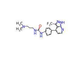 CN(C)CCCNC(=O)Nc1ccc(-c2ccnc3[nH]nc(C(F)(F)F)c23)cc1